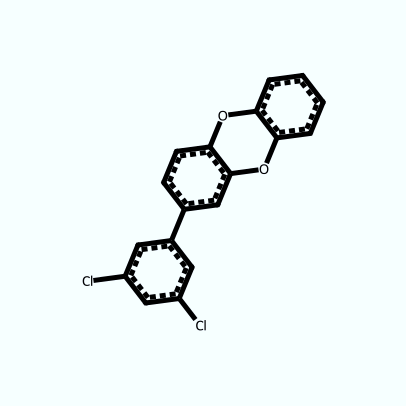 Clc1cc(Cl)cc(-c2ccc3c(c2)Oc2ccccc2O3)c1